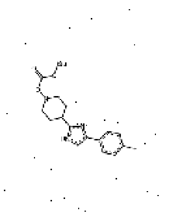 CC(C)(C)OC(=O)ON1CCC(c2nc(-c3ccc(F)cc3)c[nH]2)CC1